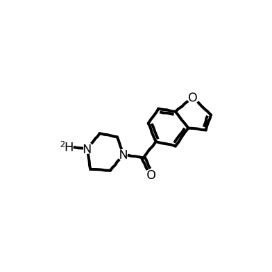 [2H]N1CCN(C(=O)c2ccc3occc3c2)CC1